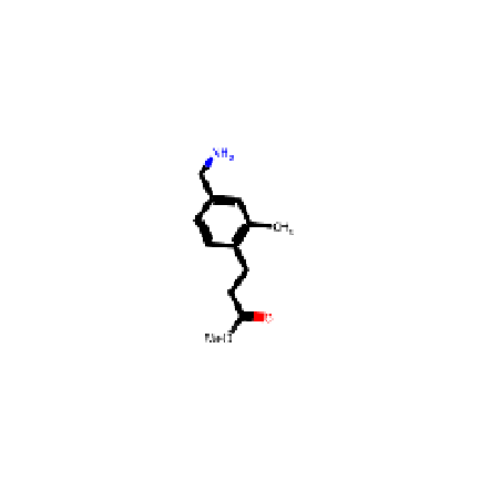 COC(=O)CCc1ccc(CN)cc1C